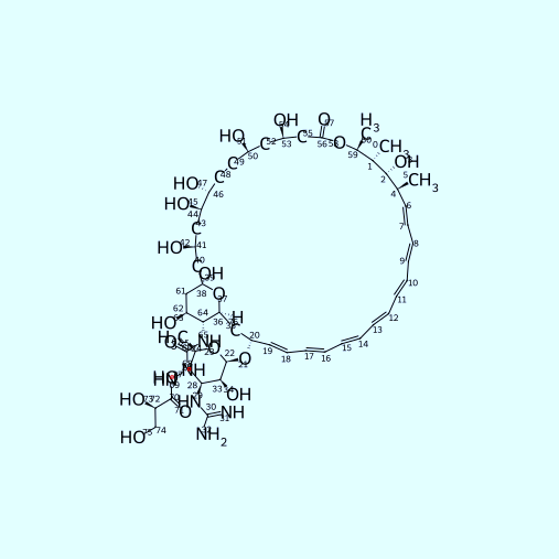 C[C@@H]1[C@H](O)[C@@H](C)/C=C/C=C/C=C/C=C/C=C/C=C/C=C/[C@H](O[C@@H]2O[C@H](C)[C@@H](O)[C@H](NC(=N)N)[C@@H]2O)C[C@@H]2O[C@](O)(C[C@@H](O)C[C@@H](O)[C@H](O)CC[C@@H](O)C[C@@H](O)CC(=O)O[C@H]1C)C[C@H](O)[C@H]2NC(=O)NNC(=O)[C@H](O)CO